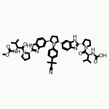 COC(=O)N[C@H](C(=O)N1CCC[C@H]1c1nc2cc([C@H]3CC[C@H](c4ccc5nc([C@@H]6CCCN6C(=O)[C@@H](NC(=O)O)C(C)C)[nH]c5c4)N3c3ccc(C(C)(C)C#N)cc3)ccc2[nH]1)C(C)C